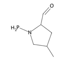 CC1CC(C=O)N(P)C1